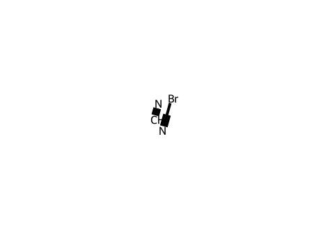 C#N.N#CBr